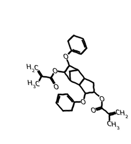 C=C(C)C(=O)OC1CC2C3CC(C(OC(=O)C(=C)C)C3OC3=CC=CCC3)C2C1OC1=CC=CCC1